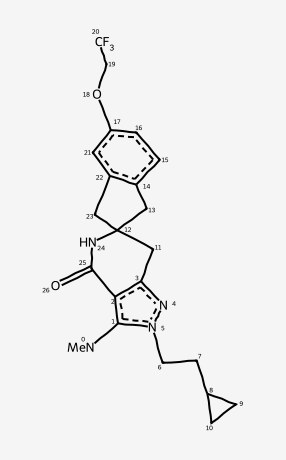 CNc1c2c(nn1CCC1CC1)CC1(Cc3ccc(OCC(F)(F)F)cc3C1)NC2=O